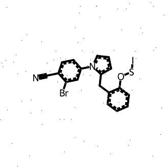 N#Cc1ccc(-n2cccc2Cc2ccccc2OSI)cc1Br